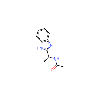 CC(=O)N[C@@H](C)c1nc2ccccc2[nH]1